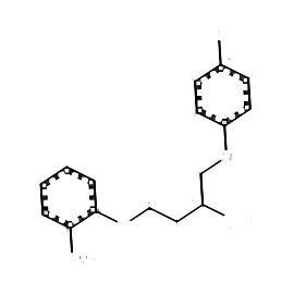 COc1ccccc1OCCC(CNc1ccc(C(C)=O)cc1)C(=O)O